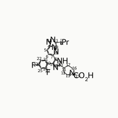 CC(C)c1nnc2ccc(-c3[nH]c(C4CCN(C(=O)O)CC4)nc3-c3ccc(F)cc3F)nn12